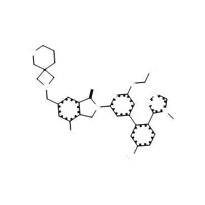 CC(C)CNc1cc(-c2cc(C#N)ccc2-c2nncn2C)cc(N2Cc3c(cc(CN4CC5(CCCOC5)C4)cc3C(F)(F)F)C2=O)n1